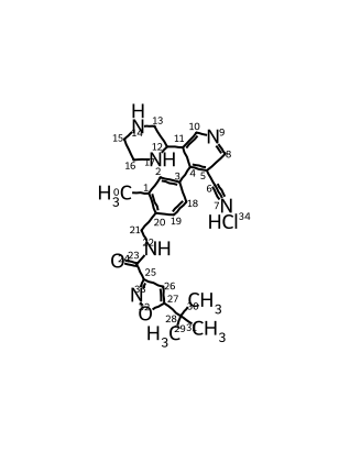 Cc1cc(-c2c(C#N)cncc2C2CNCCN2)ccc1CNC(=O)c1cc(C(C)(C)C)on1.Cl